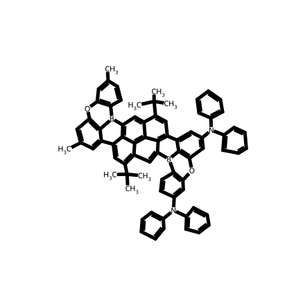 Cc1ccc2c(c1)Oc1cc(C)cc3c1B2c1cc2c(C(C)(C)C)cc4c5c(cc6c(C(C)(C)C)cc-3c1c6c25)B1c2ccc(N(c3ccccc3)c3ccccc3)cc2Oc2cc(N(c3ccccc3)c3ccccc3)cc-4c21